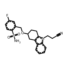 N#CCCn1c2c(c3ccccc31)CC(OCc1cc(F)ccc1S(N)(=O)=O)CC2